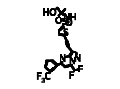 CC(C)(CO)NS(=O)(=O)c1ccc(C#Cc2cnn3c(C(F)F)cc(-c4cccc(C(F)(F)F)c4)nc23)s1